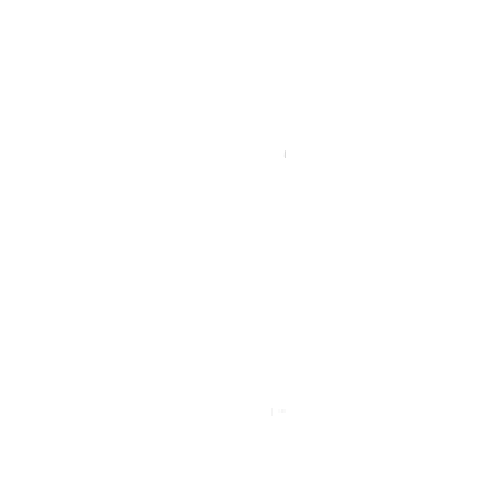 CCCCCCCCCCCCCCCCCCc1ccccc1OC(=S)Nc1ccccc1